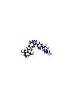 CC[C@]1(N)CCN(c2ccc(-c3n[nH]c4ccc(O[C@H](C)c5c(Cl)cncc5Cl)cc34)nn2)C1